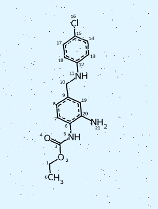 CCOC(=O)Nc1ccc(CNc2ccc(Cl)cc2)cc1N